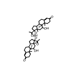 CC(=O)C1(OBOC2(C(C)=O)CCC3C4CCC5=CC(=O)CCC5(C)C4(F)C(O)CC32C)CCC2C3CCC4=CC(=O)CCC4(C)C3(F)C(O)CC21C